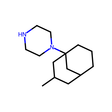 CC1CC2CCCC(N3CCNCC3)(C1)C2